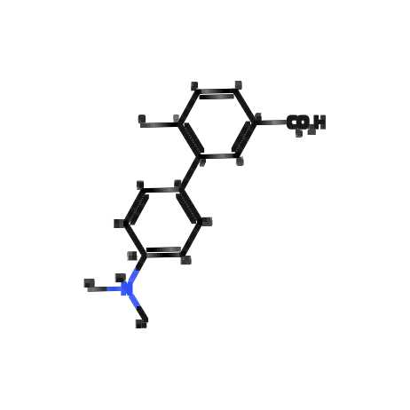 Cc1ccc(C(=O)O)cc1-c1ccc(N(C)C)cc1